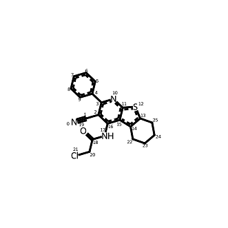 N#Cc1c(-c2ccccc2)nc2sc3c(c2c1NC(=O)CCl)CCCC3